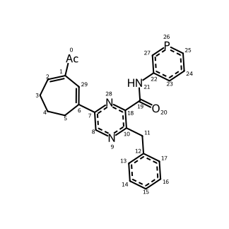 CC(=O)C1=CCCCC(c2cnc(Cc3ccccc3)c(C(=O)Nc3cccpc3)n2)=C1